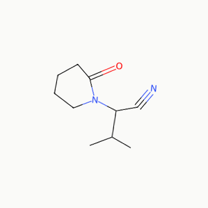 CC(C)C(C#N)N1CCCCC1=O